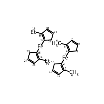 CC1=[C]([Fe][C]2=C(C)C=CC2)CC=C1.CCC1=[C]([Fe][C]2=C(CC)C=CC2)CC=C1